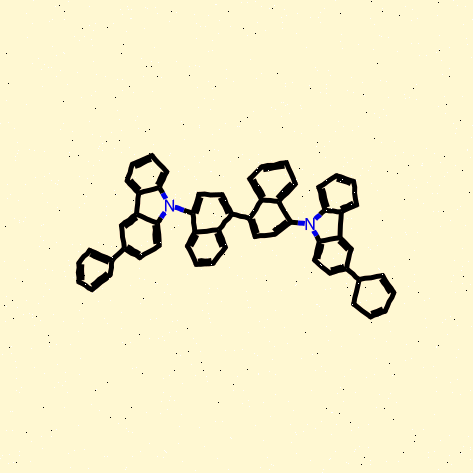 C1=CCC(c2ccc3c(c2)c2ccccc2n3-c2ccc(-c3ccc(-n4c5ccccc5c5cc(-c6ccccc6)ccc54)c4ccccc34)c3ccccc23)C=C1